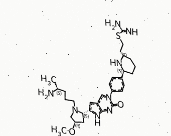 CO[C@@H]1C[C@@H](c2cc3cn(-c4ccc([C@@H]5CCC[C@@H](CCSC(=N)N)N5)cc4)c(=O)nc3[nH]2)N(CCC[C@H](C)N)C1